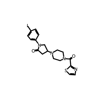 O=C(c1nccs1)N1CCN(C2CC(=O)N(c3ccc(I)cc3)C2)CC1